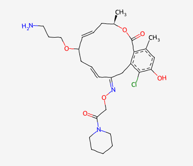 Cc1cc(O)c(Cl)c2c1C(=O)O[C@H](C)C/C=C/C(OCCCN)C/C=C/C(=N\OCC(=O)N1CCCCC1)C2